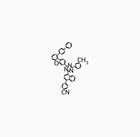 Cc1cccc(-c2nc(-c3ccc4c(c3)oc3cccc(-c5ccc(-c6ccccc6)cc5)c34)nc(-c3ccc(-c4ccc(C#N)cc4)c4ccccc34)n2)c1